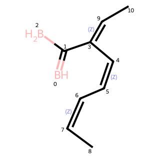 B=C(B)C(/C=C\C=C/C)=C/C